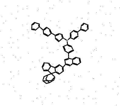 c1ccc(-c2ccc(-c3ccc(N(c4ccc(-c5ccccc5)cc4)c4ccc(-c5cc(-c6ccc7c(c6)-c6ccccc6C76C7CC8CC(C7)CC6C8)cc6ccccc56)cc4)cc3)cc2)cc1